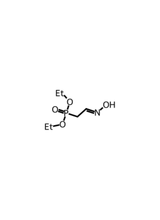 CCOP(=O)(C/C=N/O)OCC